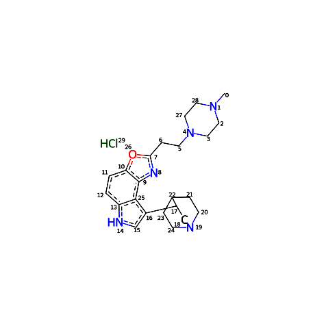 CN1CCN(CCc2nc3c(ccc4[nH]cc(C5CN6CCC5CC6)c43)o2)CC1.Cl